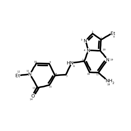 CCc1cnn2c(NCc3ccn(CC)c(=O)c3)cc(N)nc12